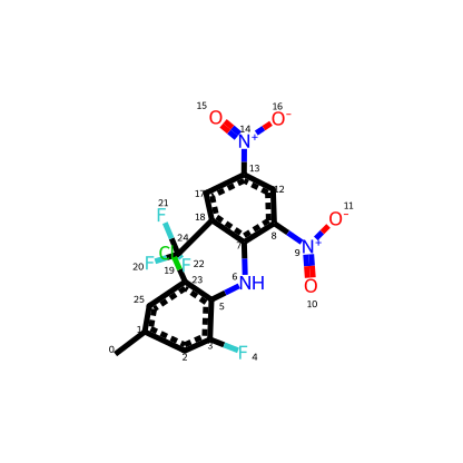 Cc1cc(F)c(Nc2c([N+](=O)[O-])cc([N+](=O)[O-])cc2C(F)(F)F)c(Cl)c1